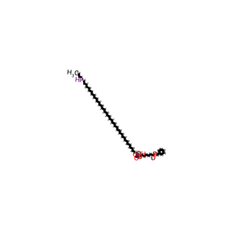 CCCCPCCCCCCCCCCCCCCCCCCCCCCCCCCCCCCCCCCCCCCCCCOP(=O)(O)OCCCCCC(=O)OCc1ccccc1